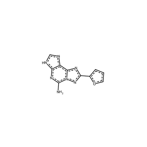 Nc1nc2[nH]cnc2c2nc(-c3ccco3)nn12